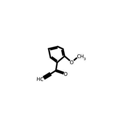 C#CC(=O)c1ccccc1OC